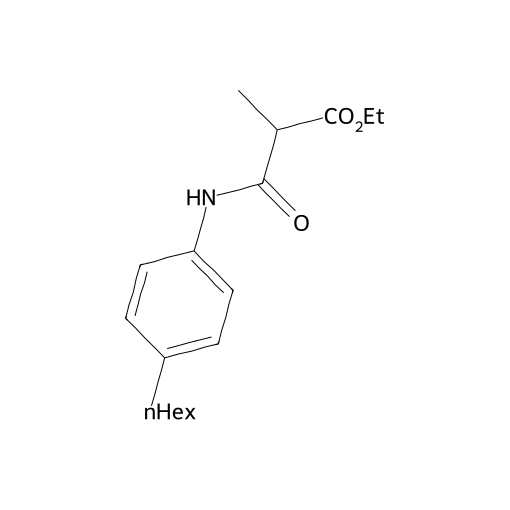 CCCCCCc1ccc(NC(=O)C(C)C(=O)OCC)cc1